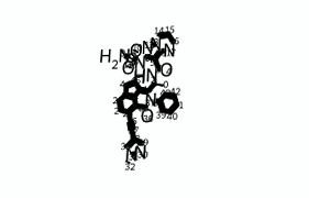 C[C@H](NC(=O)c1c(NS(N)(=O)=O)nn2cccnc12)c1c2c3c(ccc(C#Cc4cnn(C)c4)c3c(=O)n1-c1ccccc1)C=C2